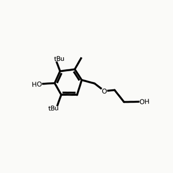 Cc1c(COCCO)cc(C(C)(C)C)c(O)c1C(C)(C)C